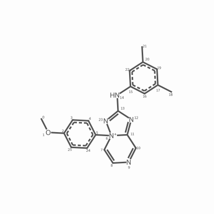 COc1ccc([N+]23C=CN=CC2=NC(Nc2cc(C)cc(C)c2)=N3)cc1